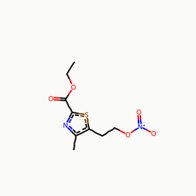 CCOC(=O)c1nc(C)c(CCO[N+](=O)[O-])s1